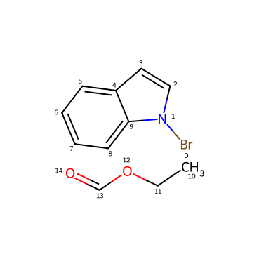 Brn1ccc2ccccc21.CCOC=O